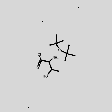 CC(C)(C)OC(C)(C)C.CC(O)C(N)C(=O)O